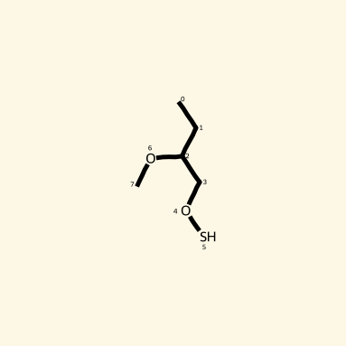 CCC(COS)OC